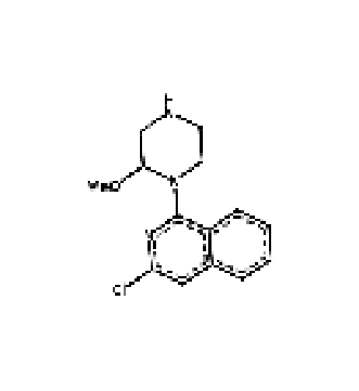 COC1CNCCN1c1nc(Cl)cc2ccccc12